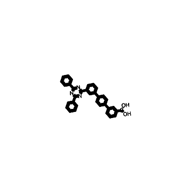 OB(O)c1cccc(-c2ccc(-c3cccc(-c4nc(-c5ccccc5)nc(-c5ccccc5)n4)c3)cc2)c1